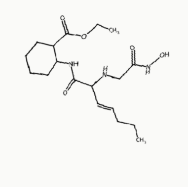 CCC/C=C/C(NCC(=O)NO)C(=O)NC1CCCCC1C(=O)OCC